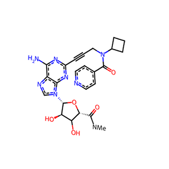 CNC(=O)[C@H]1O[C@@H](n2cnc3c(N)nc(C#CCN(C(=O)c4ccncc4)C4CCC4)nc32)[C@H](O)C1O